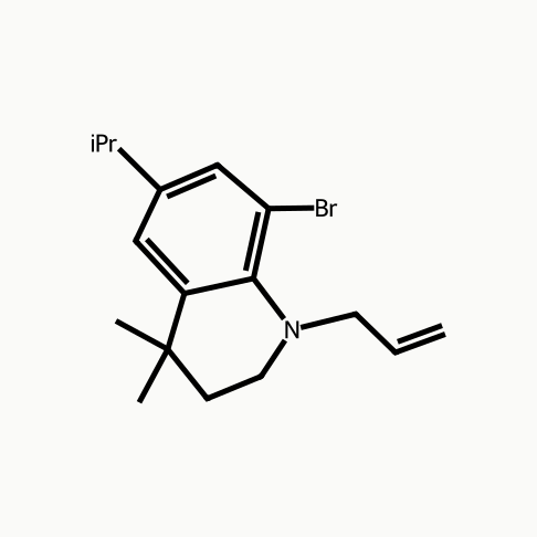 C=CCN1CCC(C)(C)c2cc(C(C)C)cc(Br)c21